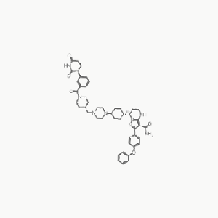 NC(=O)c1c(-c2ccc(Oc3ccccc3)cc2)nn2c1NCC[C@H]2C1CCC(N2CCN(CC3CCN(C(=O)c4cccc(N5CCC(=O)NC5=O)c4)CC3)CC2)CC1